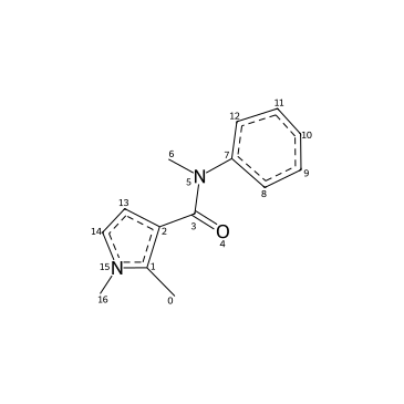 Cc1c(C(=O)N(C)c2ccccc2)ccn1C